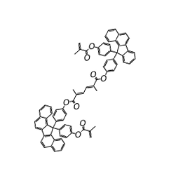 C=C(C)C(=O)Oc1ccc(C2(c3ccc(OC(=O)/C(C)=C/C=C(\C)C(=O)Oc4ccc(C5(c6ccc(OC(=O)C(=C)C)cc6)c6c(ccc7ccccc67)-c6ccc7ccccc7c65)cc4)cc3)c3ccccc3-c3ccc4ccccc4c32)cc1